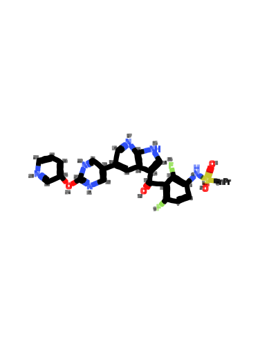 CCCS(=O)(=O)Nc1ccc(F)c(C(=O)c2c[nH]c3ncc(-c4cnc(Oc5cccnc5)nc4)cc23)c1F